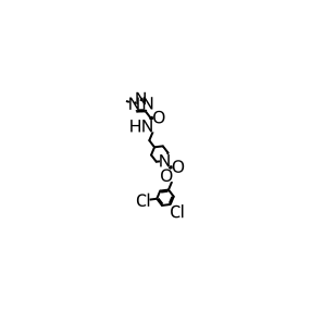 Cn1cc(C(=O)NCCC2CCN(C(=O)OCc3cc(Cl)cc(Cl)c3)CC2)nn1